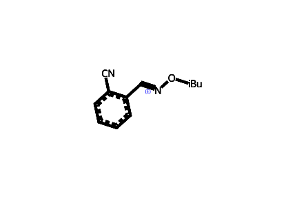 CCC(C)O/N=[C]/c1ccccc1C#N